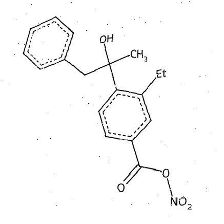 CCc1cc(C(=O)O[N+](=O)[O-])ccc1C(C)(O)Cc1ccccc1